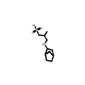 CC(CNC1CC2CCC1C2)CS(=O)(=O)O